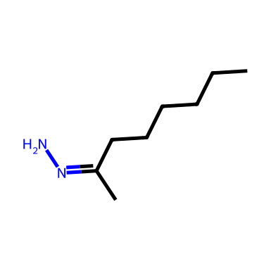 CCCCCC/C(C)=N\N